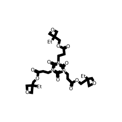 CCC1(COC(=O)CCn2c(=O)n(CCC(=O)OCC3(CC)COC3)c(=O)n(CCC(=O)OCC3(CC)COC3)c2=O)COC1